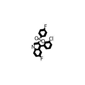 O=S(=O)(c1ccc(F)cc1)c1cnc2ccc(F)cc2c1-c1cccc(Cl)c1